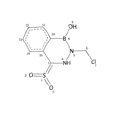 O=S(=O)=C1NN(CCl)B(O)c2ccccc21